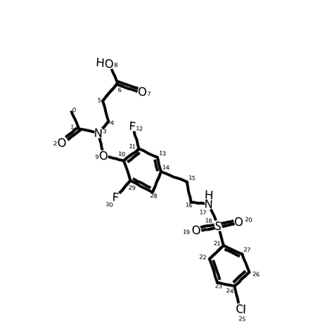 CC(=O)N(CCC(=O)O)Oc1c(F)cc(CCNS(=O)(=O)c2ccc(Cl)cc2)cc1F